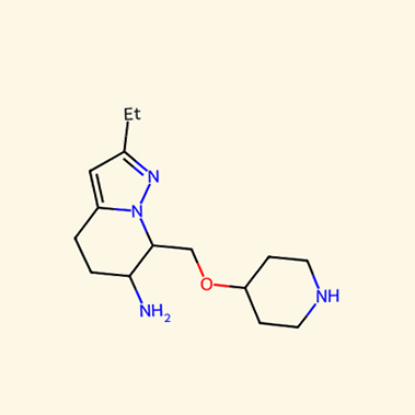 CCc1cc2n(n1)C(COC1CCNCC1)C(N)CC2